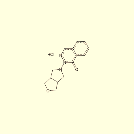 Cl.O=c1c2ccccc2cnn1N1CC2COCC2C1